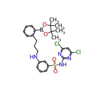 CC1(C)OB(c2ccccc2CCCNc2cccc(S(=O)(=O)Nc3nc(Cl)cc(Cl)n3)c2)OC1(C)C